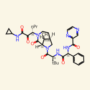 CCC[C@@H](C(=O)C(=O)NC1CC1)N1CC[C@H]2CN(C(=O)[C@@H](NC(=O)[C@@H](NC(=O)c3cnccn3)c3ccccc3)C(C)(C)C)[C@H](C1=O)[C@H]2C